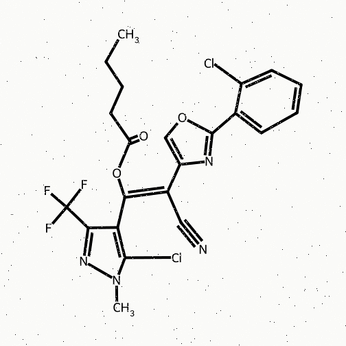 CCCCC(=O)O/C(=C(/C#N)c1coc(-c2ccccc2Cl)n1)c1c(C(F)(F)F)nn(C)c1Cl